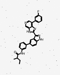 CCC(C)C(=O)Nc1cccc(-c2ccc3[nH]nc(-c4nc5c(-c6cccc(F)c6)cncc5[nH]4)c3c2)c1